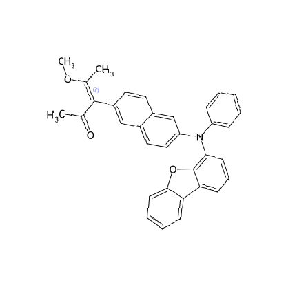 CO/C(C)=C(\C(C)=O)c1ccc2cc(N(c3ccccc3)c3cccc4c3oc3ccccc34)ccc2c1